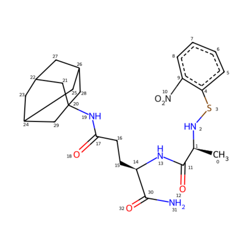 C[C@H](NSc1ccccc1[N+](=O)[O-])C(=O)N[C@H](CCC(=O)NC12CC3CC(CC(C3)C1)C2)C(N)=O